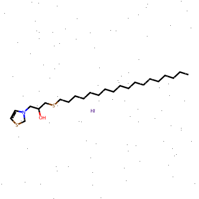 CCCCCCCCCCCCCCCCCCSCC(O)CN1C=CSC1.I